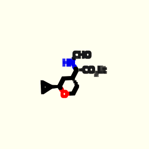 CCOC(=O)[C@@H](NC=O)[C@@H]1CCO[C@@H](C2CC2)C1